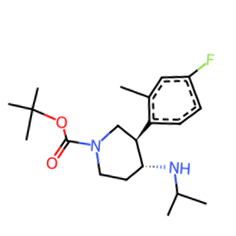 Cc1cc(F)ccc1[C@@H]1CN(C(=O)OC(C)(C)C)CC[C@H]1NC(C)C